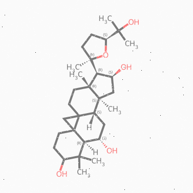 CC(C)(O)[C@@H]1CC[C@](C)([C@H]2[C@@H](O)C[C@@]3(C)[C@@H]4C[C@H](O)[C@H]5C(C)(C)C(O)CCC56CC46CC[C@]23C)O1